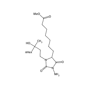 CCCCCCC(C)(O)CCN1C(=O)N(N)C(=O)C1CCCCCCC(=O)OC